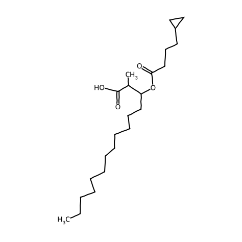 CCCCCCCCCCCCC(OC(=O)CCCC1CC1)C(C)C(=O)O